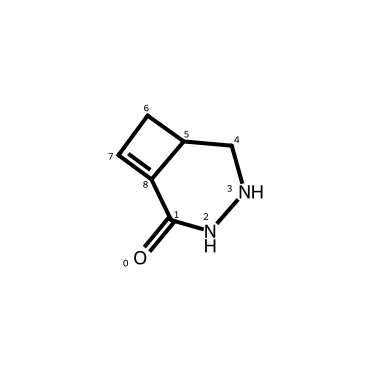 O=C1NNCC2CC=C12